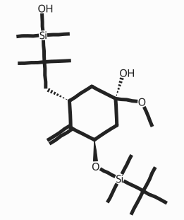 C=C1[C@H](CC(C)(C)[Si](C)(C)O)C[C@@](O)(OC)C[C@H]1O[Si](C)(C)C(C)(C)C